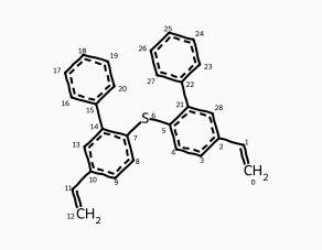 C=Cc1ccc(Sc2ccc(C=C)cc2-c2ccccc2)c(-c2ccccc2)c1